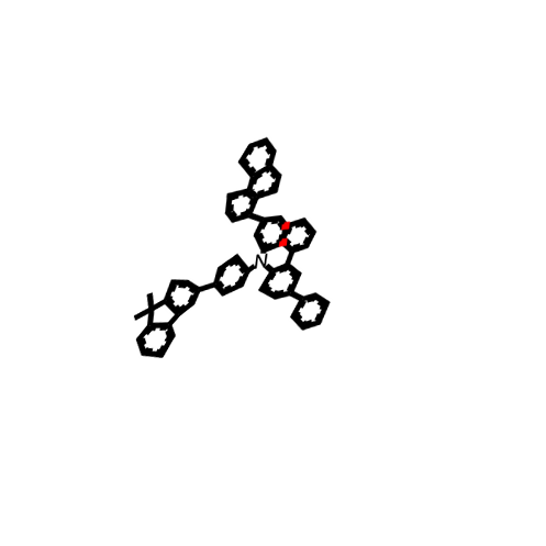 CC1(C)c2ccccc2-c2cc(-c3ccc(N(c4cccc(-c5cccc6c5ccc5ccccc56)c4)c4ccc(-c5ccccc5)cc4-c4ccccc4)cc3)ccc21